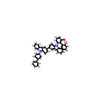 c1ccc(-c2ccc(-n3c4ccccc4c4cc(-c5ccc6c(c5)c5ccccc5n6-c5cccc6c5-c5ccccc5OC6)ccc43)cc2)cc1